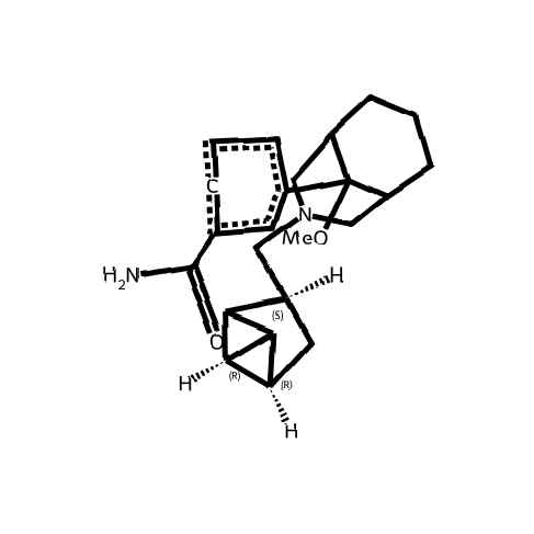 COC1(c2cccc(C(N)=O)c2)C2CCCC1CN(C[C@H]1C[C@@H]3C4C1[C@@H]43)C2